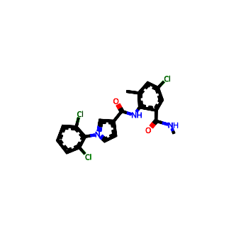 CNC(=O)c1cc(Cl)cc(C)c1NC(=O)c1ccn(-c2c(Cl)cccc2Cl)c1